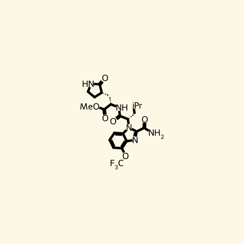 COC(=O)[C@H](C[C@@H]1CCNC1=O)NC(=O)[C@H](CC(C)C)n1c(C(N)=O)nc2c(OC(F)(F)F)cccc21